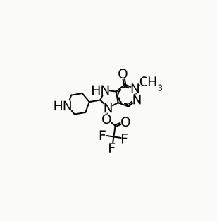 Cn1ncc2c(c1=O)NC(C1CCNCC1)N2OC(=O)C(F)(F)F